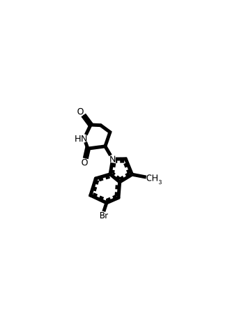 Cc1cn(C2CCC(=O)NC2=O)c2ccc(Br)cc12